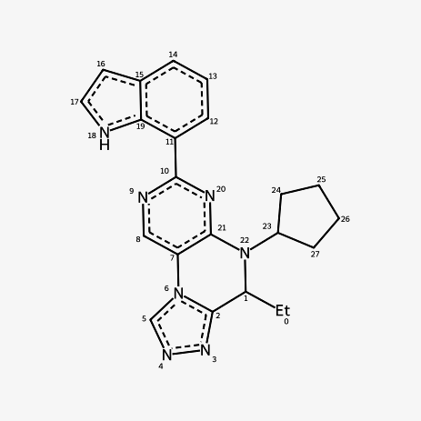 CCC1c2nncn2-c2cnc(-c3cccc4cc[nH]c34)nc2N1C1CCCC1